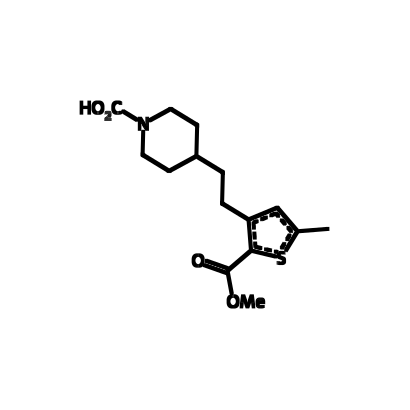 COC(=O)c1sc(C)cc1CCC1CCN(C(=O)O)CC1